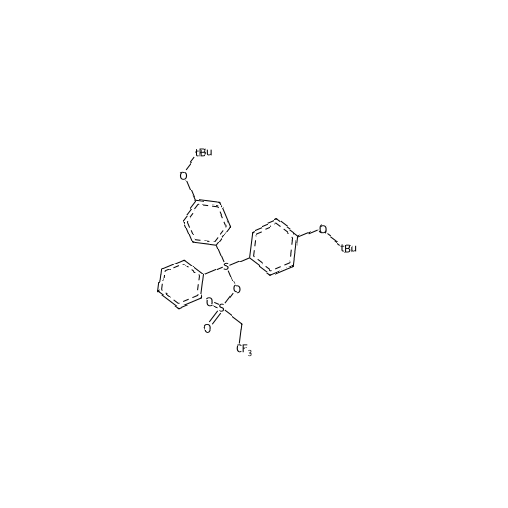 CC(C)(C)Oc1ccc(S(OS(=O)(=O)CC(F)(F)F)(c2ccccc2)c2ccc(OC(C)(C)C)cc2)cc1